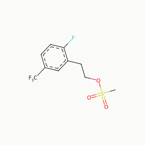 CS(=O)(=O)OCCc1cc(C(F)(F)F)ccc1F